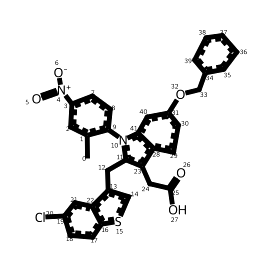 Cc1cc([N+](=O)[O-])ccc1-n1c(Cc2csc3ccc(Cl)cc23)c(CC(=O)O)c2ccc(OCc3ccccc3)cc21